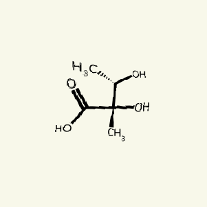 C[C@H](O)[C@](C)(O)C(=O)O